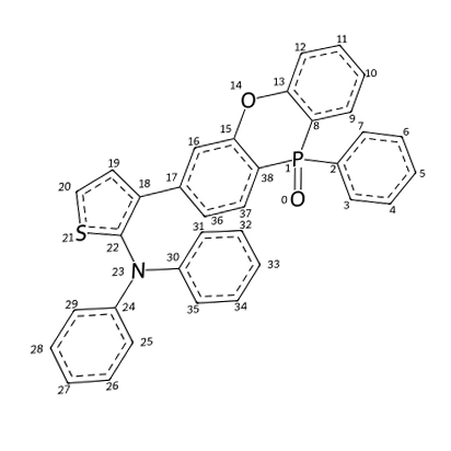 O=P1(c2ccccc2)c2ccccc2Oc2cc(-c3ccsc3N(c3ccccc3)c3ccccc3)ccc21